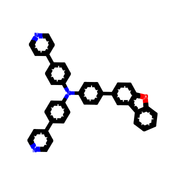 c1ccc2c(c1)oc1ccc(-c3ccc(N(c4ccc(-c5ccncc5)cc4)c4ccc(-c5ccncc5)cc4)cc3)cc12